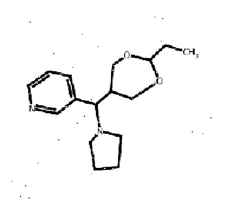 CCC1OCC(C(c2cccnc2)N2CCCC2)CO1